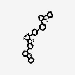 c1cc(-c2ccc(-c3ncnc4c3oc3ccc(-c5cccc6c5sc5ccccc56)cc34)cc2)cc(-c2cccc3c2sc2ccccc23)c1